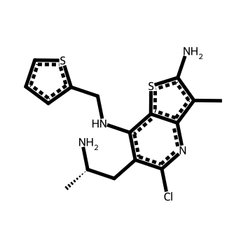 Cc1c(N)sc2c(NCc3cccs3)c(C[C@H](C)N)c(Cl)nc12